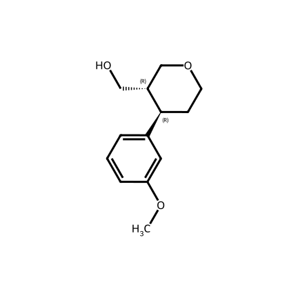 COc1cccc([C@@H]2CCOC[C@H]2CO)c1